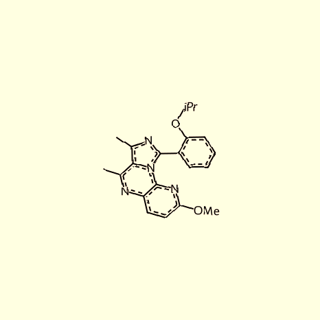 COc1ccc2nc(C)c3c(C)nc(-c4ccccc4OC(C)C)n3c2n1